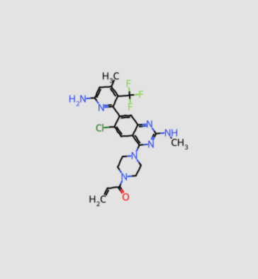 C=CC(=O)N1CCN(c2nc(NC)nc3cc(-c4nc(N)cc(C)c4C(F)(F)F)c(Cl)cc23)CC1